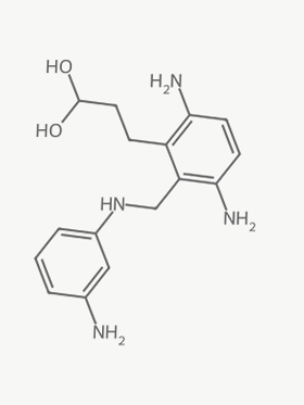 Nc1cccc(NCc2c(N)ccc(N)c2CCC(O)O)c1